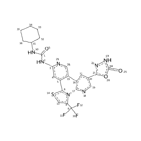 O=C(Nc1cc(-c2nc(C(F)(F)F)cs2)c(-c2cncc(-c3n[nH]c(=O)o3)c2)cn1)NC1CCCCC1